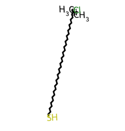 C[Si](C)(Cl)CCCCCCCCCCCCCCCCCCCCCCCCCCCCCCCCCCCCCS